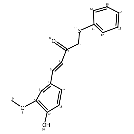 COc1cc(C=CC(=O)CSc2ccccc2)ccc1O